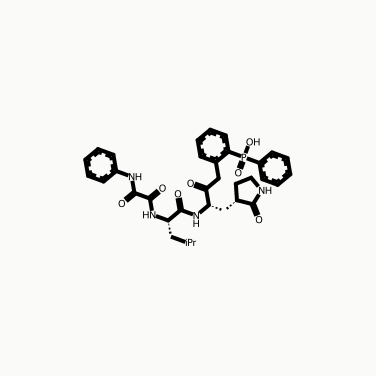 CC(C)C[C@H](NC(=O)C(=O)Nc1ccccc1)C(=O)N[C@@H](C[C@@H]1CCNC1=O)C(=O)Cc1ccccc1P(=O)(O)c1ccccc1